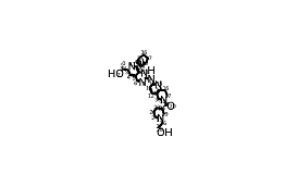 C[C@@H](O)c1cc2cnc(Nc3ccc4c(n3)CCN(C(=O)[C@H]3CCCN(CCO)C3)C4)nc2c(N2C3CCC2CC3)n1